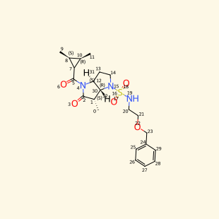 C[C@@H]1C(=O)N(C(=O)C2[C@@H](C)[C@H]2C)[C@H]2CCN(S(=O)(=O)NCCOCc3ccccc3)[C@H]12